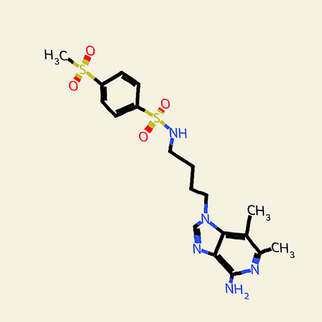 Cc1nc(N)c2ncn(CCCCNS(=O)(=O)c3ccc(S(C)(=O)=O)cc3)c2c1C